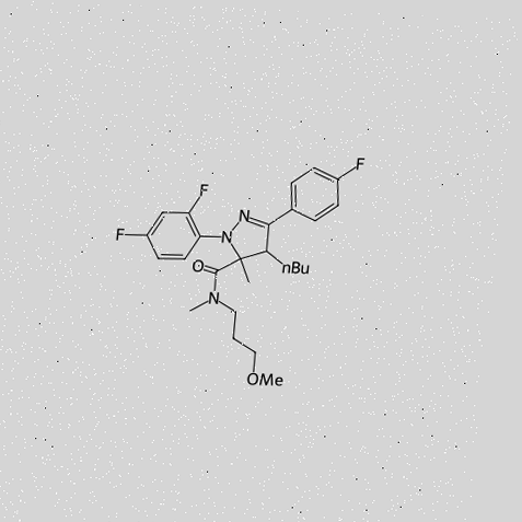 CCCCC1C(c2ccc(F)cc2)=NN(c2ccc(F)cc2F)C1(C)C(=O)N(C)CCCOC